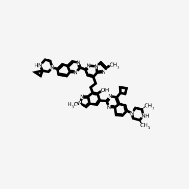 Cc1cn2nc(-c3ncc4cc(N5CCNC6(CC6)C5)ccc4n3)cc(CCc3c(O)c(-c4nc(C5CCC5)c5cc(N6C[C@H](C)N[C@@H](C)C6)ccc5n4)cc4cn(C)nc34)c2n1